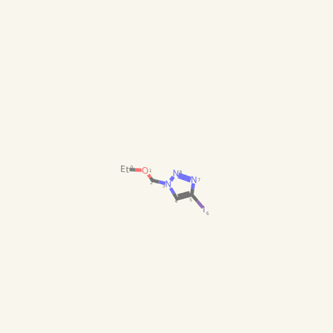 CCOCn1cc(I)nn1